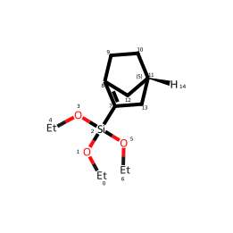 CCO[Si](OCC)(OCC)C1=C2CC[C@@H](C2)C1